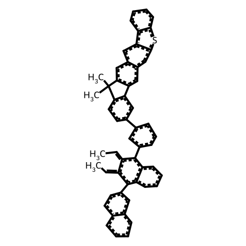 C/C=c1/c(-c2cccc(-c3ccc4c(c3)-c3cc5cc6sc7ccccc7c6cc5cc3C4(C)C)c2)c2ccccc2c(-c2ccc3ccccc3c2)/c1=C/C